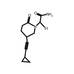 CCC(C(N)=O)N1CC(C#CC2CC2)CCC1=O